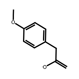 C=C([O])Cc1ccc(OC)cc1